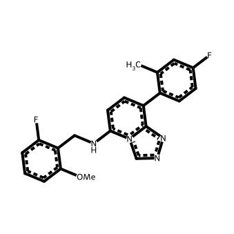 COc1cccc(F)c1CNc1ccc(-c2ccc(F)cc2C)c2nncn12